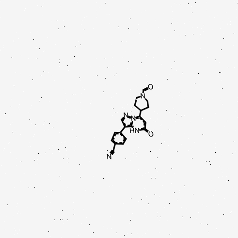 N#Cc1ccc(-c2cnn3c(C4CCN(C=O)CC4)cc(=O)[nH]c23)cc1